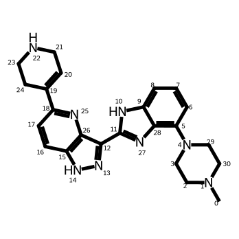 CN1CCN(c2cccc3[nH]c(-c4n[nH]c5ccc(C6=CCNCC6)nc45)nc23)CC1